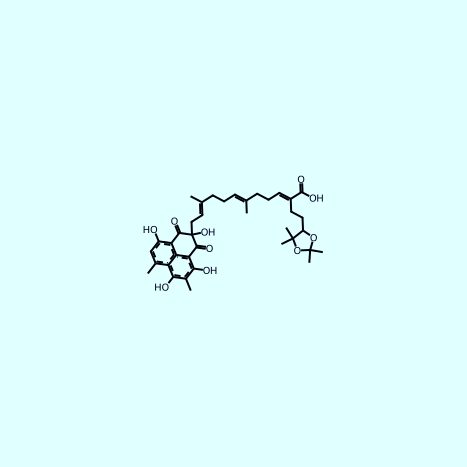 C/C(=C\CC/C(C)=C/CC1(O)C(=O)c2c(O)cc(C)c3c(O)c(C)c(O)c(c23)C1=O)CC/C=C(\CCC1OC(C)(C)OC1(C)C)C(=O)O